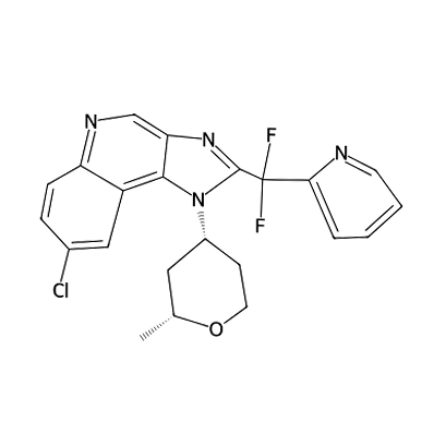 C[C@@H]1C[C@H](n2c(C(F)(F)c3ccccn3)nc3cnc4ccc(Cl)cc4c32)CCO1